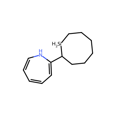 C1=CC=C(C2CCCCCC[SiH2]2)NC=C1